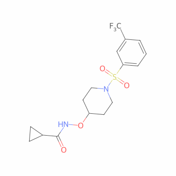 O=C(NOC1CCN(S(=O)(=O)c2cccc(C(F)(F)F)c2)CC1)C1CC1